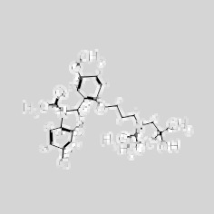 COc1ccc(OCCCN(CC(C)(C)O)C(C)C)c(C2Sc3cc(Cl)ccc3N2C(C)=O)c1